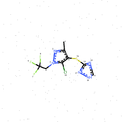 Cc1nn(CC(F)(F)F)c(Cl)c1Sc1nc[nH]n1